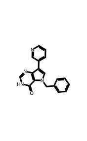 O=c1[nH]cnc2c(-c3cccnc3)cn(Cc3ccccc3)c12